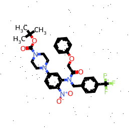 CC(C)(C)OC(=O)N1CCN(c2ccc([N+](=O)[O-])c(N(Cc3ccc(C(F)(F)F)cc3)C(=O)COc3ccccc3)c2)CC1